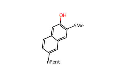 CCCCCc1ccc2cc(O)c(SC)cc2c1